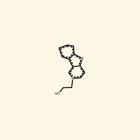 OCCn1ccc2nc3ccccc3c-2c1